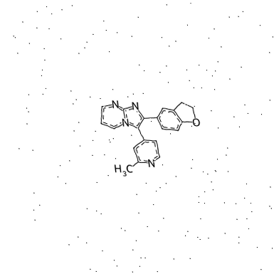 Cc1cc(-c2c(-c3ccc4c(c3)CCO4)nc3ncccn23)ccn1